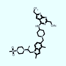 CC(=O)OCc1nc(NC2CCN(Cc3ccc4c(cc(C)n4C[C@H](C)N4CCN(S(C)(=O)=O)CC4)c3C)CC2)c2cc(CC(F)(F)F)sc2n1